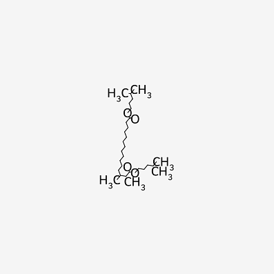 CC(C)CCCOC(=O)CCCCCCCCCCCC(C)C(C)C(=O)OCCCC(C)C